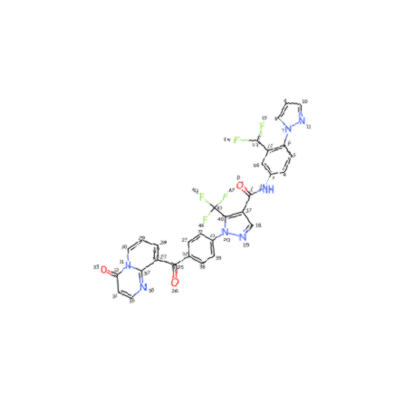 O=C(Nc1ccc(-n2cccn2)c(C(F)F)c1)c1cnn(-c2ccc(C(=O)c3cccn4c(=O)ccnc34)cc2)c1C(F)(F)F